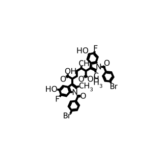 Cc1c(C(CCC(C)C(C(=O)O)c2c(C)n(C(=O)c3ccc(Br)cc3)c3cc(F)c(O)cc23)C(=O)O)c2cc(O)c(F)cc2n1C(=O)c1ccc(Br)cc1